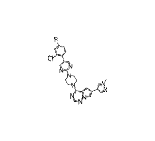 Cn1cc(-c2cc3c(N4CCN(c5ncc(-c6ccc(F)cc6Cl)cn5)CC4)ncnn3c2)cn1